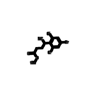 CC(C)(C)OC(=O)CCC(C#N)c1c(Cl)cc(Br)cc1Cl